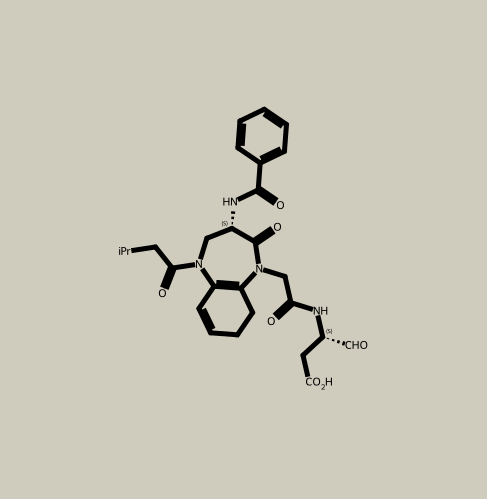 CC(C)CC(=O)N1C[C@H](NC(=O)c2ccccc2)C(=O)N(CC(=O)N[C@H](C=O)CC(=O)O)C2=C1C=CCC2